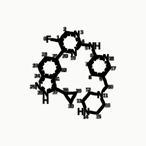 Fc1cnc(Nc2ccc(CN3CCNCC3)cn2)nc1-c1ccc2n[nH]c(C3CC3)c2c1